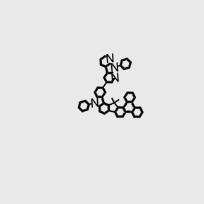 CC1(C)c2c(ccc3c4ccccc4c4ccccc4c23)-c2ccc3c(c21)c1cc(-c2cnc4c(c2)c2cccnc2n4-c2ccccc2)ccc1n3-c1ccccc1